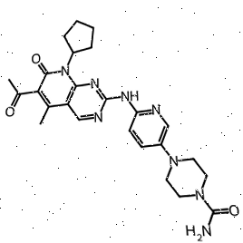 CC(=O)c1c(C)c2cnc(Nc3ccc(N4CCN(C(N)=O)CC4)cn3)nc2n(C2CCCC2)c1=O